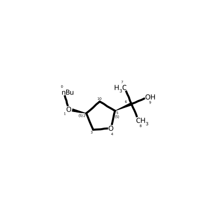 CCCCO[C@@H]1CO[C@H](C(C)(C)O)C1